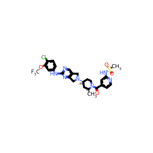 C[C@@H]1C[C@H](N2Cc3cnc(Nc4ccc(Cl)c(OC(F)(F)F)c4)nc3C2)CCN1C(=O)c1ccnc(NS(C)(=O)=O)c1